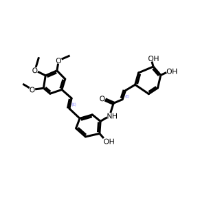 COc1cc(/C=C/c2ccc(O)c(NC(=O)/C=C/c3ccc(O)c(O)c3)c2)cc(OC)c1OC